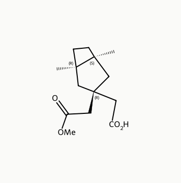 COC(=O)C[C@]1(CC(=O)O)C[C@]2(C)CC[C@]2(C)C1